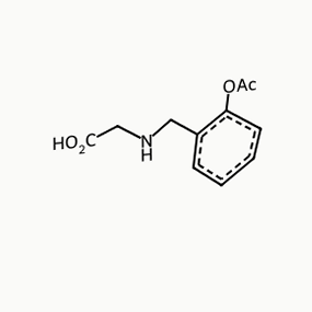 CC(=O)Oc1ccccc1CNCC(=O)O